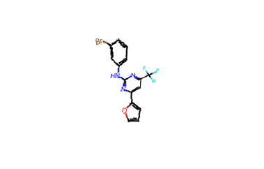 FC(F)(F)c1cc(-c2ccco2)nc(Nc2cccc(Br)c2)n1